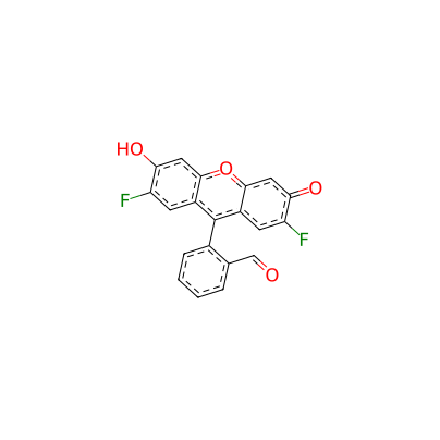 O=Cc1ccccc1-c1c2cc(F)c(=O)cc-2oc2cc(O)c(F)cc12